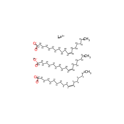 CCCCCC/C=C\CCCCCCCCCC(=O)[O-].CCCCCC/C=C\CCCCCCCCCC(=O)[O-].CCCCCC/C=C\CCCCCCCCCC(=O)[O-].[La+3]